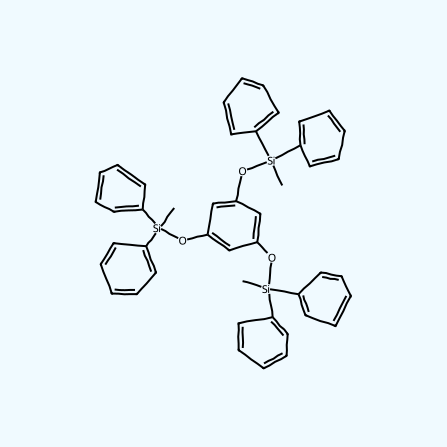 C[Si](Oc1cc(O[Si](C)(c2ccccc2)c2ccccc2)cc(O[Si](C)(c2ccccc2)c2ccccc2)c1)(c1ccccc1)c1ccccc1